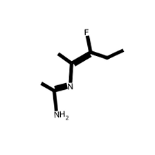 CC/C(F)=C(C)\N=C(/C)N